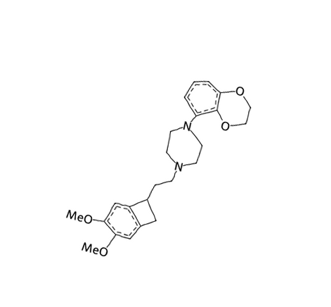 COc1cc2c(cc1OC)C(CCN1CCN(c3cccc4c3OCCO4)CC1)C2